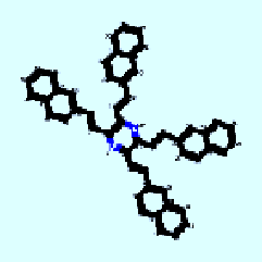 C(=C\c1nc(/C=C/c2ccc3ccccc3c2)c(/C=C/c2ccc3ccccc3c2)nc1/C=C/c1ccc2ccccc2c1)/c1ccc2ccccc2c1